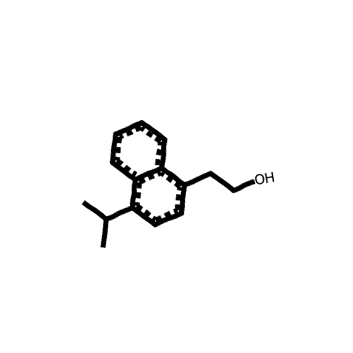 CC(C)c1ccc(CCO)c2ccccc12